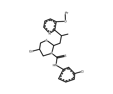 CCC1CSC(CC(C)c2ncccc2OC(C)C)N(C(=S)Nc2cccc(Cl)c2)C1